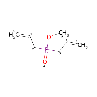 C=CCP(=O)(CC=C)OC